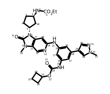 CCOC(=O)N[C@@H]1CC[C@@H](n2c(=O)n(C)c3cnc(Nc4cc(NC(=O)OC5CCC5)cc(-c5cnn(C)c5)c4)cc32)C1